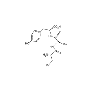 CC[C@H](C)[C@H](NC(=O)[C@@H](N)CC(C)C)C(=O)N[C@@H](Cc1ccc(O)cc1)C(=O)O